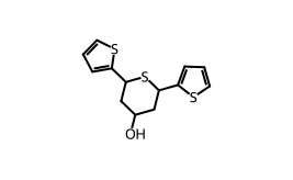 OC1CC(c2cccs2)SC(c2cccs2)C1